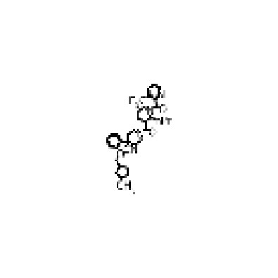 CCCC1C(C(=O)N2CCC(C#N)(c3ccccc3OCC3CCC(C)C3)CC2)CCCN1C(=O)c1ncccc1C(F)(F)F